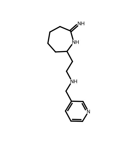 N=C1CCCCC(CCNCc2cccnc2)N1